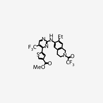 CCc1cc2c(cc1Nc1ncc(C(F)(F)F)c(-c3cc(C(=O)OC)cs3)n1)CCN(C(=O)C(F)(F)F)C2